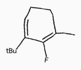 CC1=C(F)C(C(C)(C)C)=CCC1